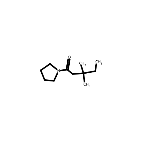 CCC(C)(C)CC(=O)N1CCCC1